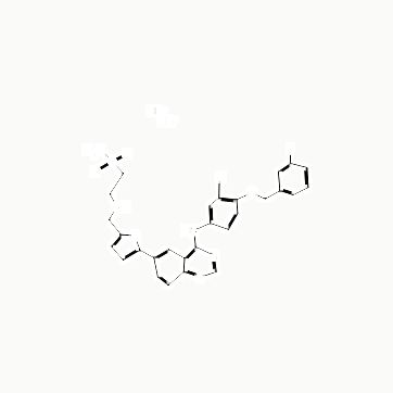 Br.Br.CS(=O)(=O)CCNCc1ccc(-c2ccc3ncnc(Nc4ccc(OCc5cccc(F)c5)c(Cl)c4)c3c2)o1